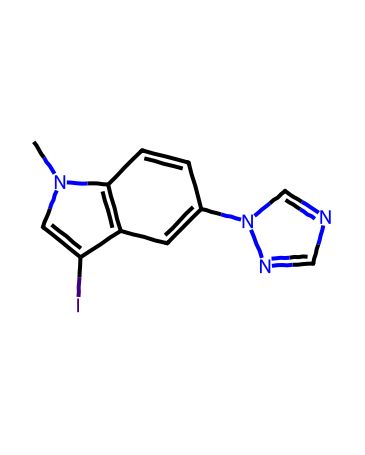 Cn1cc(I)c2cc(-n3cncn3)ccc21